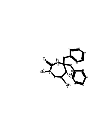 CCCCN1CC(O)C(O)C(Cc2ccccc2)(Cc2ccccc2)NC1=O